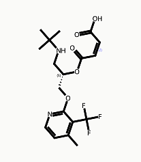 Cc1ccnc(OC[C@H](CNC(C)(C)C)OC(=O)/C=C\C(=O)O)c1C(F)(F)F